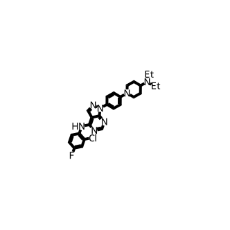 CCN(CC)C1CCN(c2ccc(-n3ncc4c(Nc5ccc(F)cc5Cl)ncnc43)cc2)CC1